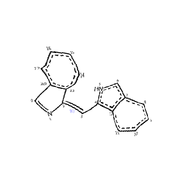 C1=N/C(=C/c2[nH]cc3ccccc23)c2ccccc21